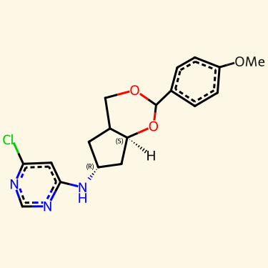 COc1ccc(C2OCC3C[C@@H](Nc4cc(Cl)ncn4)C[C@@H]3O2)cc1